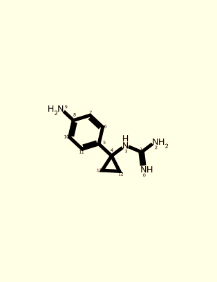 N=C(N)NC1(c2ccc(N)cc2)CC1